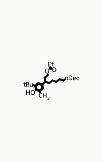 CCCCCCCCCCCCCCCC(CCOC(=O)CC)c1cc(C)c(O)c(C(C)(C)C)c1